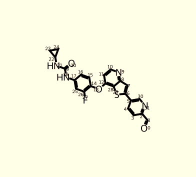 O=Cc1ccc(-c2cc3nccc(Oc4ccc(NC(=O)NC5CC5)cc4F)c3s2)cn1